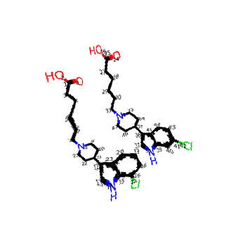 O=C(O)CCCCCN1CCC(c2c[nH]c3c(Cl)cccc23)CC1.O=C(O)CCCCCN1CCC(c2c[nH]c3cc(Cl)ccc23)CC1